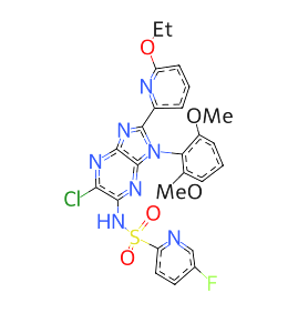 CCOc1cccc(-c2nc3nc(Cl)c(NS(=O)(=O)c4ccc(F)cn4)nc3n2-c2c(OC)cccc2OC)n1